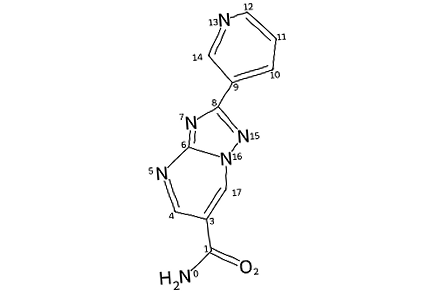 NC(=O)c1cnc2nc(-c3cccnc3)nn2c1